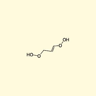 OOC=CCOO